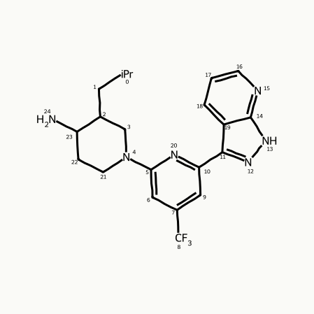 CC(C)CC1CN(c2cc(C(F)(F)F)cc(-c3n[nH]c4ncccc34)n2)CCC1N